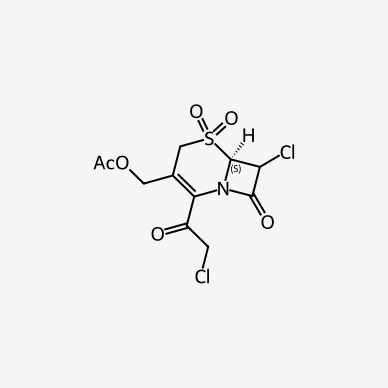 CC(=O)OCC1=C(C(=O)CCl)N2C(=O)C(Cl)[C@@H]2S(=O)(=O)C1